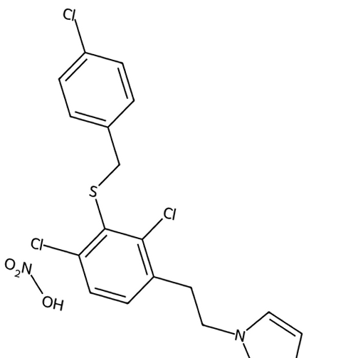 Clc1ccc(CSc2c(Cl)ccc(CCn3ccnc3)c2Cl)cc1.O=[N+]([O-])O